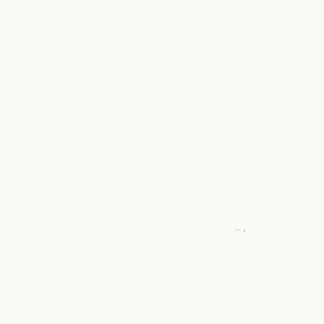 CC/C=C\CC(O)CCCCCCCCC